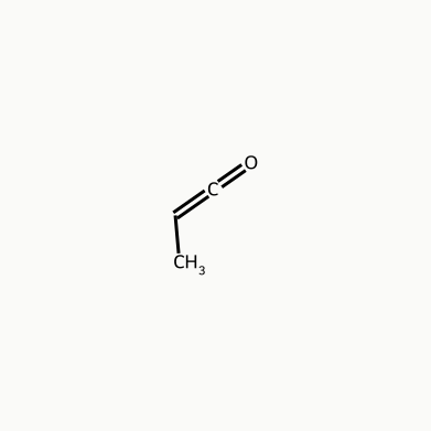 CC=C=O